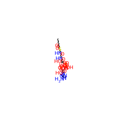 CCC=CCC(=O)CC(=O)SCCNC(=O)CCNC(=O)C(O)C(C)(C)COP(=O)(O)OP(=O)(O)OCC1OC(C)(n2cnc3c(N)ncnc32)C(O)C1OP(=O)(O)O